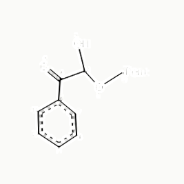 CCCC(C)OC(O)C(=O)c1ccccc1